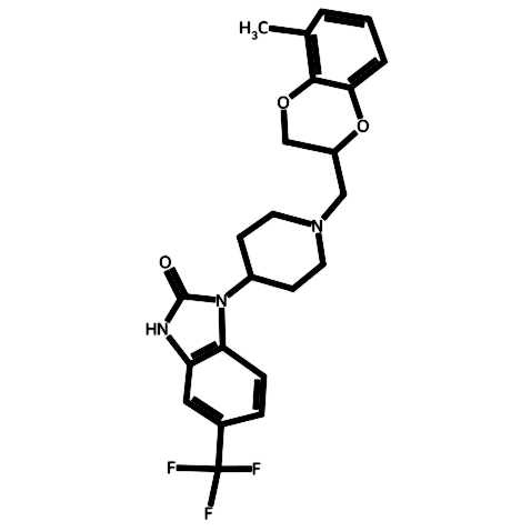 Cc1cccc2c1OCC(CN1CCC(n3c(=O)[nH]c4cc(C(F)(F)F)ccc43)CC1)O2